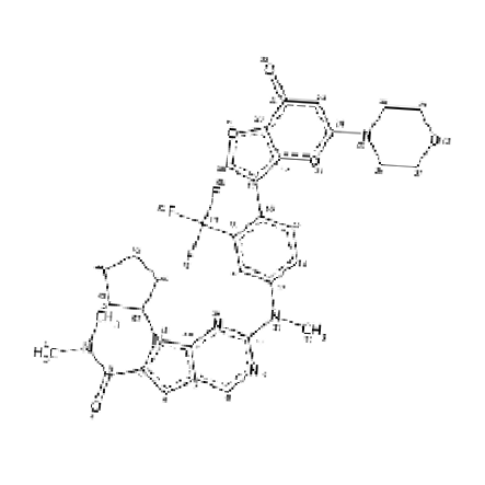 CN(C)C(=O)c1cc2cnc(N(C)c3ccc(-c4coc5c(=O)cc(N6CCOCC6)oc45)c(C(F)(F)F)c3)nc2n1C1CCCC1